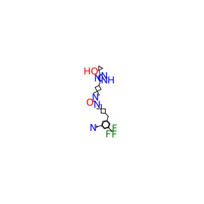 N#Cc1cc(CC2CC3(C2)CN(C(=O)N2CC4(CC(c5nc(C6(O)CC6)n[nH]5)C4)C2)C3)cc(C(F)(F)F)c1